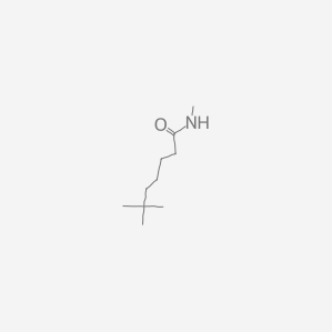 CNC(=O)CCCCC(C)(C)C